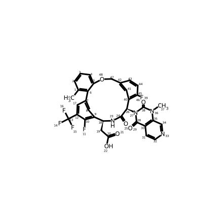 Cc1cccc2c1-c1cc(c(F)c(C(F)(F)F)c1)[C@H](CC(=O)O)NC(=O)[C@H](n1c(=O)c3ccncc3n(C)c1=O)c1cc(ccc1F)CO2